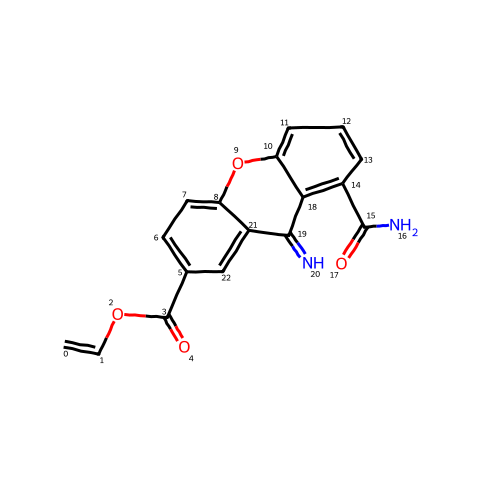 C=COC(=O)c1ccc2oc3cccc(C(N)=O)c3c(=N)c2c1